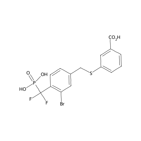 O=C(O)c1cccc(SCc2ccc(C(F)(F)P(=O)(O)O)c(Br)c2)c1